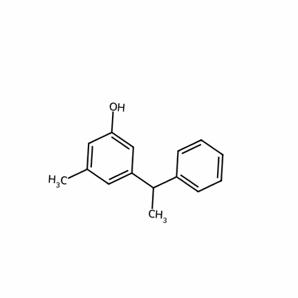 Cc1cc(O)cc(C(C)c2ccccc2)c1